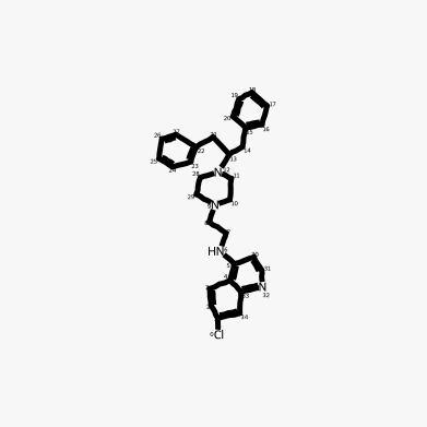 Clc1ccc2c(NCCN3CCN(C(Cc4ccccc4)Cc4ccccc4)CC3)ccnc2c1